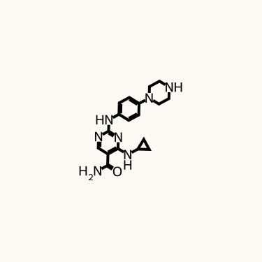 NC(=O)c1cnc(Nc2ccc(N3CCNCC3)cc2)nc1NC1CC1